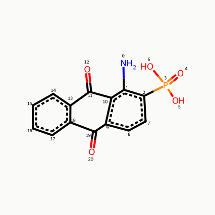 Nc1c(P(=O)(O)O)ccc2c1C(=O)c1ccccc1C2=O